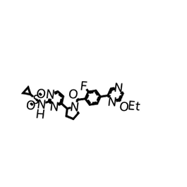 CCOc1cncc(-c2ccc(C(=O)N3CCCC3c3ccnc(NS(=O)(=O)C4CC4)n3)c(F)c2)n1